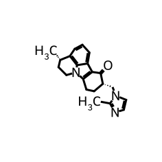 Cc1nccn1C[C@@H]1CCc2c(c3cccc4c3n2CC[C@@H]4C)C1=O